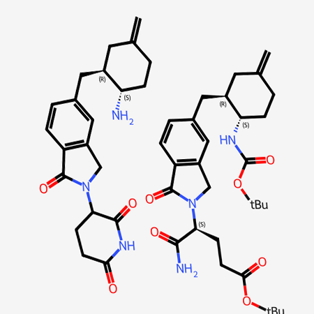 C=C1CC[C@H](N)[C@@H](Cc2ccc3c(c2)CN(C2CCC(=O)NC2=O)C3=O)C1.C=C1CC[C@H](NC(=O)OC(C)(C)C)[C@@H](Cc2ccc3c(c2)CN([C@@H](CCC(=O)OC(C)(C)C)C(N)=O)C3=O)C1